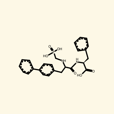 O=C(N[C@@H](Cc1ccccc1)C(=O)O)C(Cc1ccc(-c2ccccc2)cc1)NCP(=O)(O)O